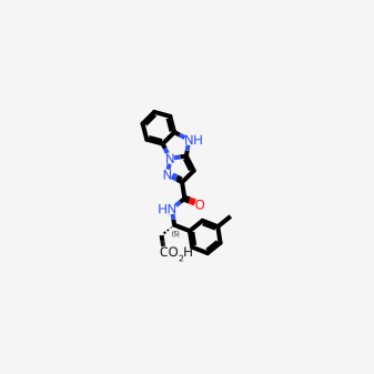 Cc1cccc([C@H](CC(=O)O)NC(=O)c2cc3[nH]c4ccccc4n3n2)c1